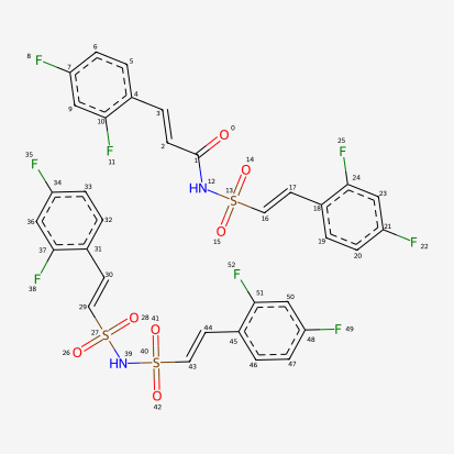 O=C(C=Cc1ccc(F)cc1F)NS(=O)(=O)C=Cc1ccc(F)cc1F.O=S(=O)(C=Cc1ccc(F)cc1F)NS(=O)(=O)C=Cc1ccc(F)cc1F